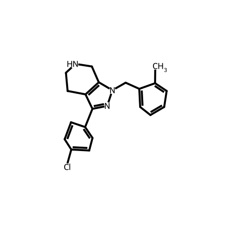 Cc1ccccc1Cn1nc(-c2ccc(Cl)cc2)c2c1CNCC2